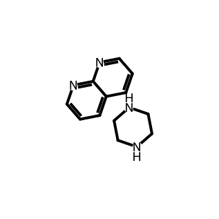 C1CNCCN1.c1cnc2ncccc2c1